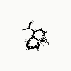 CC(C)c1ccnn2cccc12